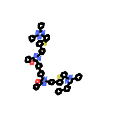 c1ccc(-c2cccc(-c3cc(-c4ccccc4)nc(-c4cccc5sc6c(-c7ccc(-c8nc(-c9ccc(-c%10ccc(-c%11nc(-c%12cccc(-c%13cccc%14c%13sc%13cccc(-c%15nc(-c%16ccccc%16)nc(-c%16ccccc%16)n%15)c%13%14)c%12)nc%12c%11oc%11ccccc%11%12)cc%10)cc9)c9oc%10ccccc%10c9n8)cc7)cccc6c45)n3)c2)cc1